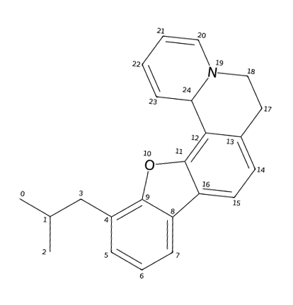 CC(C)Cc1cccc2c1oc1c3c(ccc12)CCN1C=CC=CC31